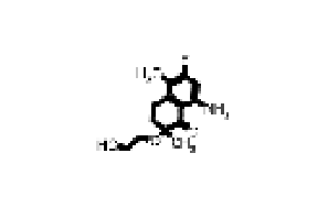 Cc1c(F)cc(N)c2c1CCC(C)(OCCO)C2=O